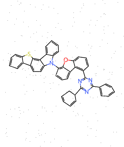 C1=CCC(c2nc(-c3ccccc3)nc(-c3cccc4oc5c(-n6c7ccccc7c7c8sc9ccccc9c8ccc76)cccc5c34)n2)C=C1